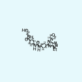 CCn1nnc2c(N3CCOCC3)nc(-c3ccc(NC(=O)Nc4ccc(C(=O)NCCO)cc4)cc3)nc21